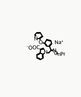 CCCO/N=C(\Cn1cc(C(=O)[O-])c2ccccc21)c1cccc(Oc2ccccn2)c1.[Na+]